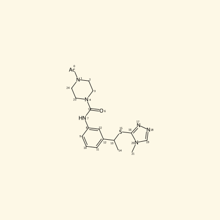 CC(=O)N1CCN(C(=O)Nc2cccc(C(C)Sc3nncn3C)c2)CC1